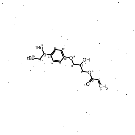 C=CC(=O)OCC(O)COc1ccc(C(CC(C)(C)C)C(C)(C)C)cc1